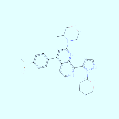 CC1COCCN1c1cc(-c2ccc([S+](C)[O-])cc2)c2ccnc(-c3ccnn3C3CCCCO3)c2n1